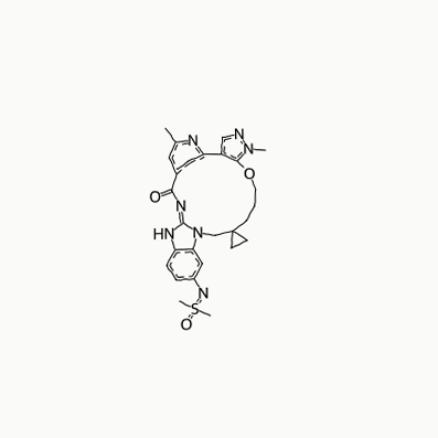 Cc1cc2cc(n1)-c1cnn(C)c1OCCCC1(CC1)CN1/C(=N/C2=O)Nc2ccc(N=S(C)(C)=O)cc21